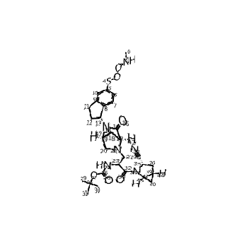 CNOOSc1ccc2c(c1)CC[C@H]2N1C(=O)[C@@H]2C[C@H]1CN2C[C@H](NC(=O)OC(C)(C)C)C(=O)N1[C@H](C#N)C[C@@H]2C[C@@H]21